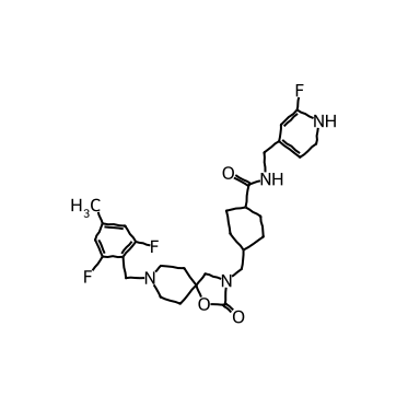 Cc1cc(F)c(CN2CCC3(CC2)CN(CC2CCC(C(=O)NCC4=CCNC(F)=C4)CC2)C(=O)O3)c(F)c1